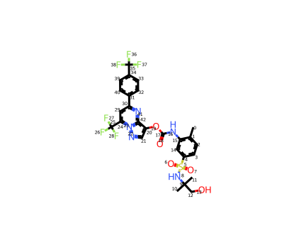 Cc1ccc(S(=O)(=O)NC(C)(C)CO)cc1NC(=O)Oc1cnn2c(C(F)(F)F)cc(-c3ccc(C(F)(F)F)cc3)nc12